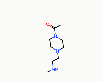 CNCCN1CCN(C(C)=O)CC1